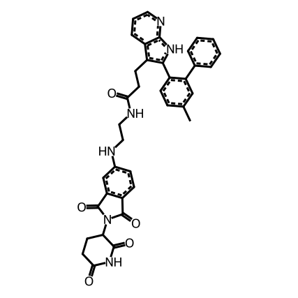 Cc1ccc(-c2[nH]c3ncccc3c2CCC(=O)NCCNc2ccc3c(c2)C(=O)N(C2CCC(=O)NC2=O)C3=O)c(-c2ccccc2)c1